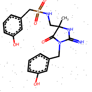 CC1(CNS(=O)(=O)Cc2cccc(O)c2)NC(=N)N(Cc2cccc(O)c2)C1=O